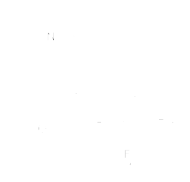 CN(C)/C=C(/C=O)c1ccccc1C(F)(F)F